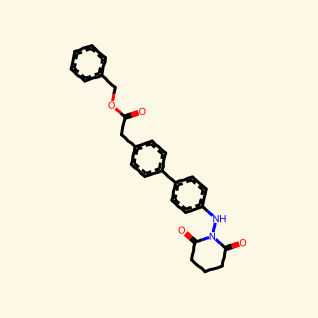 O=C(Cc1ccc(-c2ccc(NN3C(=O)CCCC3=O)cc2)cc1)OCc1ccccc1